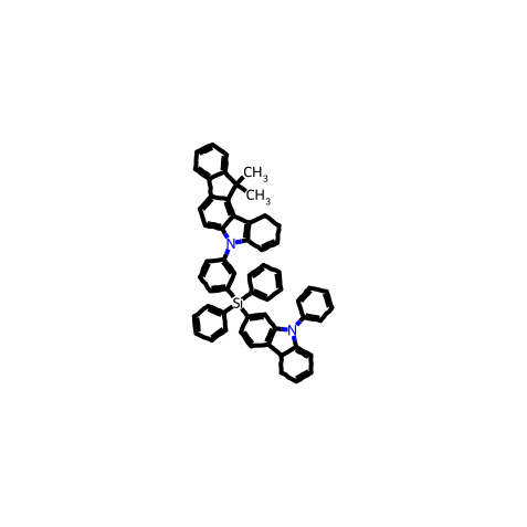 CC1(C)c2ccccc2-c2ccc3c(c4c(n3-c3cccc([Si](c5ccccc5)(c5ccccc5)c5ccc6c(c5)N(c5ccccc5)C5=CC=CCC56)c3)C=CCC4)c21